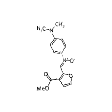 COC(=O)c1ccoc1C=[N+]([O-])c1ccc(N(C)C)cc1